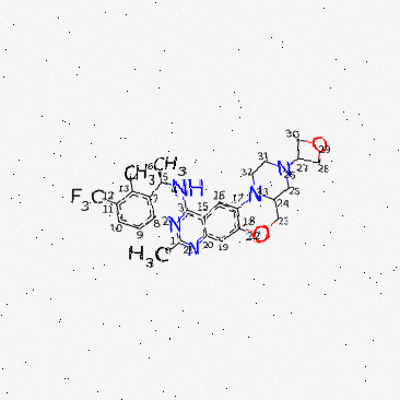 Cc1nc(N[C@H](C)c2cccc(C(F)(F)F)c2C)c2cc3c(cc2n1)OCC1CN(C2COC2)CCN31